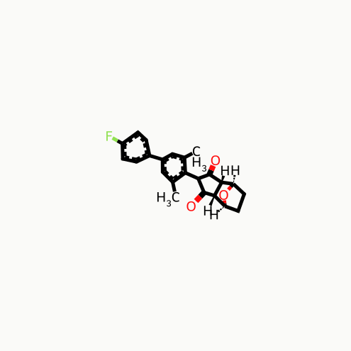 Cc1cc(-c2ccc(F)cc2)cc(C)c1C1C(=O)[C@@H]2[C@H](C1=O)[C@H]1CC[C@@H]2O1